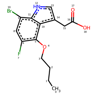 CCCCOc1c(F)cc(Br)c2[nH]cc(CC(=O)O)c12